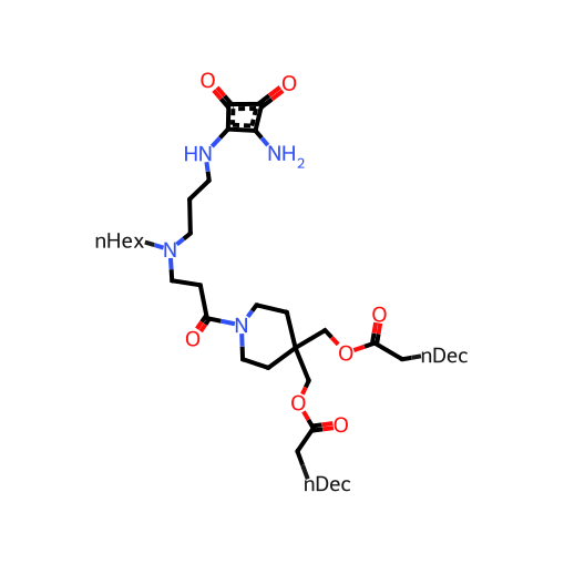 CCCCCCCCCCCC(=O)OCC1(COC(=O)CCCCCCCCCCC)CCN(C(=O)CCN(CCCCCC)CCCNc2c(N)c(=O)c2=O)CC1